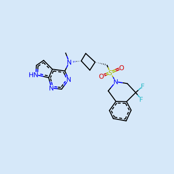 CN(c1ncnc2[nH]ccc12)[C@H]1C[C@@H](CS(=O)(=O)N2Cc3ccccc3C(F)(F)C2)C1